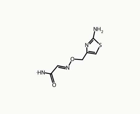 [NH]C(=O)C=NOCc1csc(N)n1